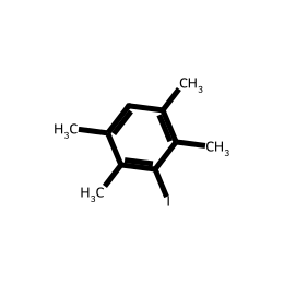 Cc1cc(C)c(C)c(I)c1C